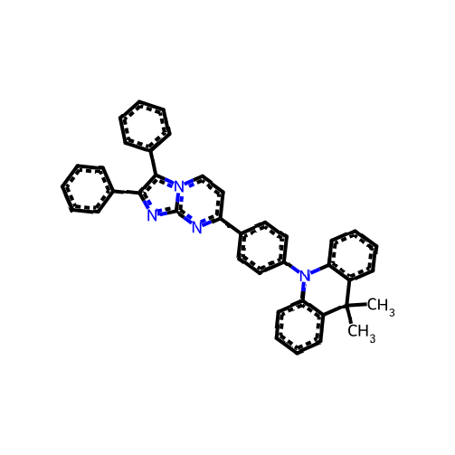 CC1(C)c2ccccc2N(c2ccc(-c3ccn4c(-c5ccccc5)c(-c5ccccc5)nc4n3)cc2)c2ccccc21